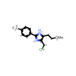 COCCc1[nH]c(-c2ccc(C(F)(F)F)cc2)nc1CCl